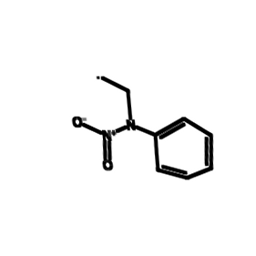 [CH2]CN(c1ccccc1)[N+](=O)[O-]